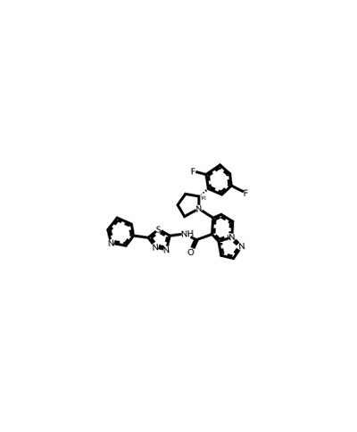 O=C(Nc1nnc(-c2cccnc2)s1)c1c(N2CCC[C@@H]2c2cc(F)ccc2F)ccn2nccc12